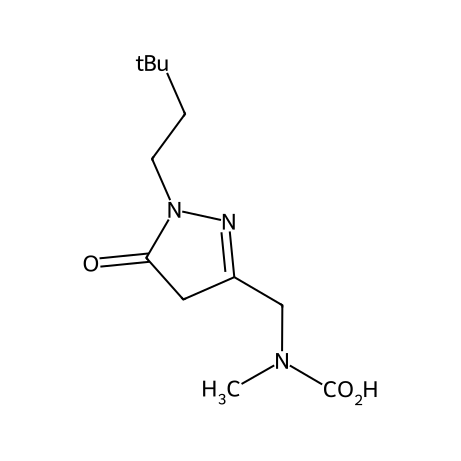 CN(CC1=NN(CCC(C)(C)C)C(=O)C1)C(=O)O